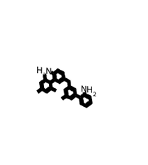 CC1=CC(C)C(c2cc(Cc3cc(C)cc(-c4ccccc4N)c3)ccc2N)C(C)=C1